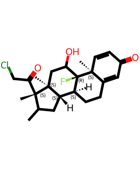 CC1C[C@H]2[C@@H]3CCC4=CC(=O)C=C[C@]4(C)[C@@]3(F)C(O)C[C@]2(C)[C@@]1(C)C(=O)CCl